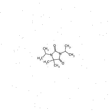 CC(C)N1C(=O)N(C(C)C)C(C)(C)C1=O